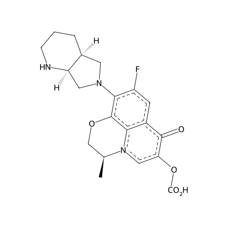 C[C@H]1COc2c(N3C[C@@H]4CCCN[C@@H]4C3)c(F)cc3c(=O)c(OC(=O)O)cn1c23